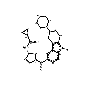 Cn1c2c(c3cc(C(=O)N4CC[C@H](NC(=O)C5CC5)C4)ccc31)CC(C1CCOCC1)CC2